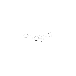 CS(=O)(=O)n1c(CCc2ccccc2)cc2cc(NC(=O)c3ccccc3Cl)ccc21